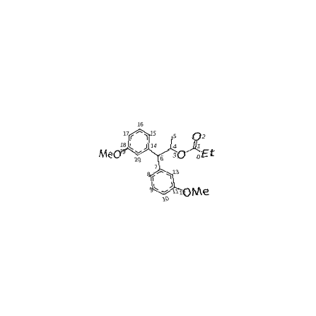 CCC(=O)OC(C)C(c1cccc(OC)c1)c1cccc(OC)c1